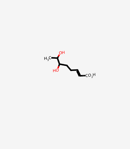 CC(O)C(O)CC/C=C/C(=O)O